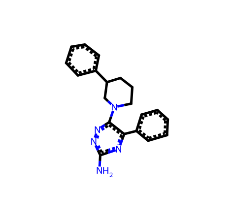 Nc1nnc(N2CCCC(c3ccccc3)C2)c(-c2ccccc2)n1